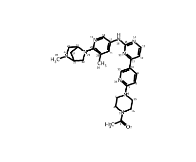 CC(=O)N1CCN(c2ccc(-c3ccnc(Nc4cnc(N5CC6CC5CN6C)c(C)c4)n3)cn2)CC1